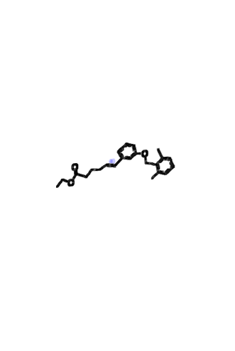 CCOC(=O)CCC/C=C/c1cccc(OCc2c(C)cccc2C)c1